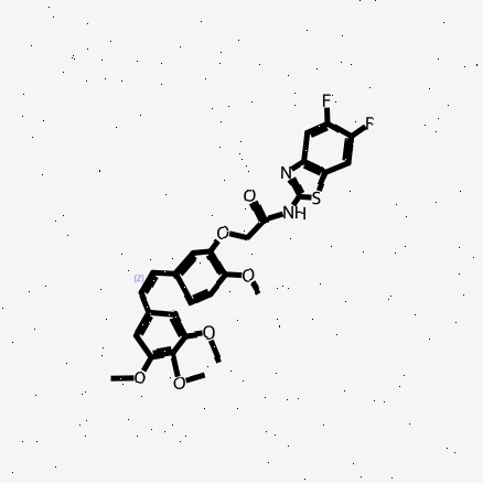 COc1ccc(/C=C\c2cc(OC)c(OC)c(OC)c2)cc1OCC(=O)Nc1nc2cc(F)c(F)cc2s1